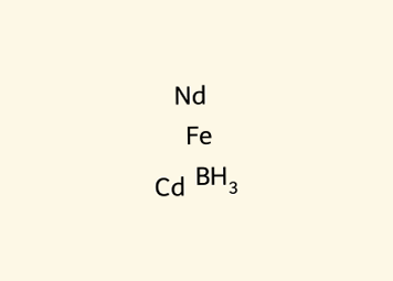 B.[Cd].[Fe].[Nd]